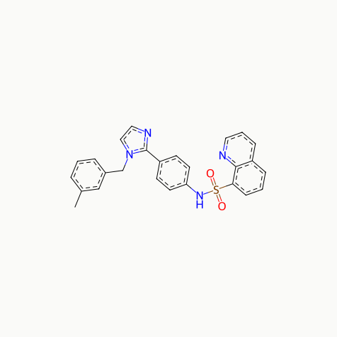 Cc1cccc(Cn2ccnc2-c2ccc(NS(=O)(=O)c3cccc4cccnc34)cc2)c1